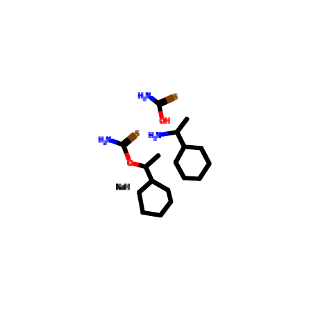 CC(N)C1CCCCC1.CC(OC(N)=S)C1CCCCC1.NC(O)=S.[NaH]